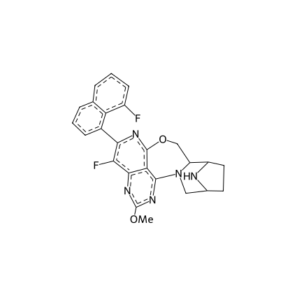 COc1nc2c3c(nc(-c4cccc5cccc(F)c45)c(F)c3n1)OCC1C3CCC(CN21)N3